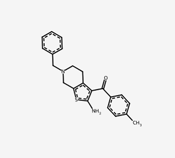 Cc1ccc(C(=O)c2c(N)sc3c2CCN(Cc2ccccc2)C3)cc1